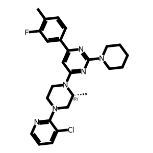 Cc1ccc(-c2cc(N3CCN(c4ncccc4Cl)C[C@H]3C)nc(N3CCCCC3)n2)cc1F